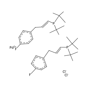 CC(C)(C)P(C=CCc1ccc(F)cc1)C(C)(C)C.CC(C)(C)P(C=CCc1ccc(F)cc1)C(C)(C)C.[Cl-].[Cl-].[Pd+2]